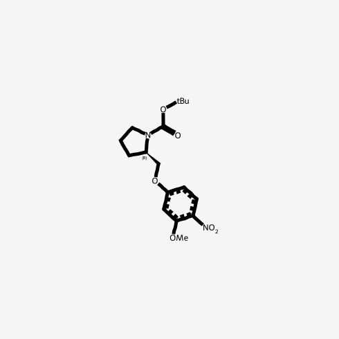 COc1cc(OC[C@H]2CCCN2C(=O)OC(C)(C)C)ccc1[N+](=O)[O-]